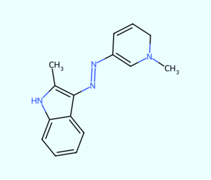 Cc1[nH]c2ccccc2c1N=NC1=CN(C)CC=C1